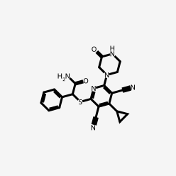 N#Cc1c(SC(C(N)=O)c2ccccc2)nc(N2CCNC(=O)C2)c(C#N)c1C1CC1